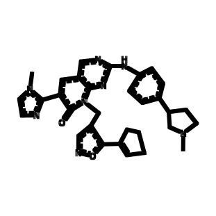 CN1CCC(c2ccc(Nc3ncc4cc(-c5nccn5C)c(=O)n(Cc5cnoc5C5=CCCC5)c4n3)cc2)C1